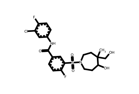 CC1(CO)CCN(S(=O)(=O)c2cc(C(=O)Nc3ccc(F)c(Cl)c3)ccc2F)CCC1O